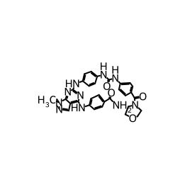 Cn1ncc2c(Nc3ccc(C(N)=O)cc3)nc(Nc3ccc(NC(=O)Nc4ccc(C(=O)N5CCOCC5)cc4)cc3)nc21